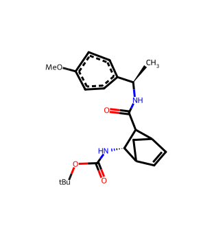 COc1ccc([C@@H](C)NC(=O)C2C3C=CC(C3)[C@@H]2NC(=O)OC(C)(C)C)cc1